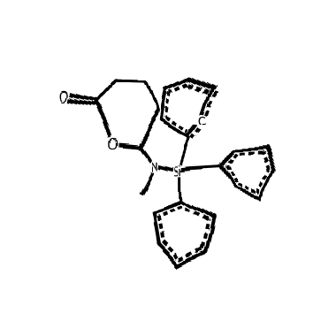 CN(C1CCCC(=O)O1)[Si](c1ccccc1)(c1ccccc1)c1ccccc1